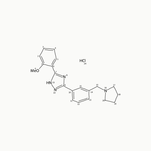 COc1ccccc1-c1nc(-c2cccc(CN3CCCC3)c2)n[nH]1.Cl